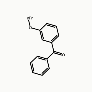 CCCOc1cccc(C(=O)c2ccccc2)c1